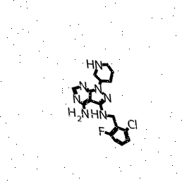 Nc1ncnc2c1c(NCc1c(F)cccc1Cl)nn2C1CCCNC1